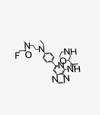 CCN(CCN(C)C(=O)CF)c1ccc(-c2cc3nccnc3c(N[C@H](C)C3CNCCO3)n2)cc1